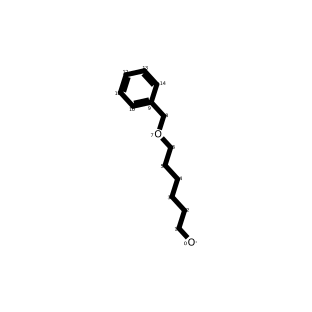 [O]CCCCCCOCc1ccccc1